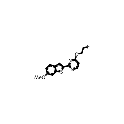 COc1ccc2cc(-c3nccc(OCCF)n3)sc2c1